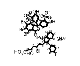 CC(C)n1c(/C=C/[C@@H](O)C[C@@H](O)CC(=O)O)c(-c2ccc(F)cc2)c2ccccc21.O=C1OC(c2ccc(O)c(S(=O)(=O)[O-])c2)(c2ccc(O)c(S(=O)(=O)[O-])c2)c2c(Br)c(Br)c(Br)c(Br)c21.[Na+].[Na+]